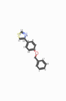 c1ccc(COc2ccc(-c3cscn3)cc2)cc1